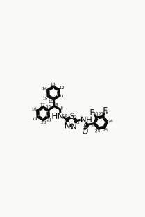 O=C(Nc1nnc(NCC(c2ccccc2)c2ccccc2)s1)c1cccc(F)c1F